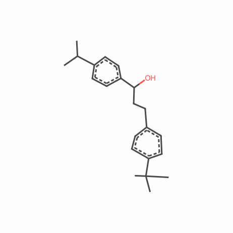 CC(C)c1ccc(C(O)CCc2ccc(C(C)(C)C)cc2)cc1